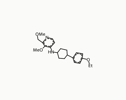 CCOc1ccc(C2CCC(Nc3ccnc(COC)c3OC)CC2)cc1